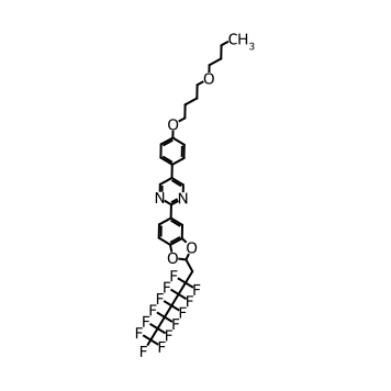 CCCCOCCCCOc1ccc(-c2cnc(-c3ccc4c(c3)OC(CC(F)(F)C(F)(F)C(F)(F)C(F)(F)C(F)(F)C(F)(F)F)O4)nc2)cc1